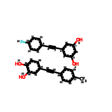 Oc1cc(O)cc(C#Cc2ccc(F)cc2)c1.Oc1ccc(C#Cc2ccc(C(F)(F)F)cc2)cc1O